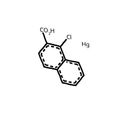 O=C(O)c1ccc2ccccc2c1Cl.[Hg]